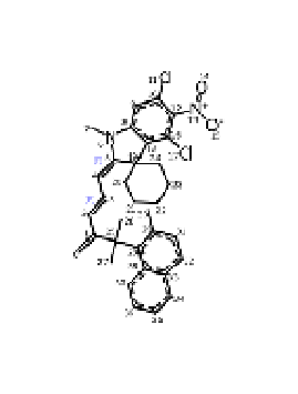 C=C(/C=C/C=C1/N(C)c2cc(Cl)c([N+](=O)[O-])c(Cl)c2C12CCCCC2)C(C)(C)c1c(C)ccc2ccccc12